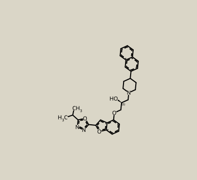 CC(C)c1nnc(-c2cc3c(OC[C@@H](O)CN4CCC(c5ccc6ccccc6c5)CC4)cccc3o2)o1